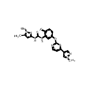 Cc1cc(NC(=O)Nc2cc(Oc3nccc(-c4cnn(C)c4)n3)ccc2F)nn1C(C)(C)C